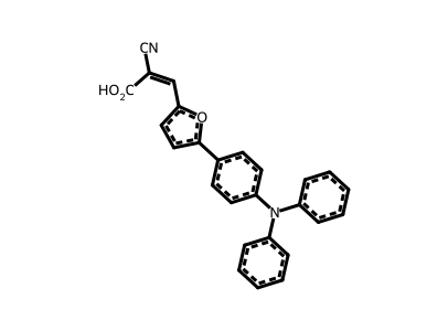 N#C/C(=C/c1ccc(-c2ccc(N(c3ccccc3)c3ccccc3)cc2)o1)C(=O)O